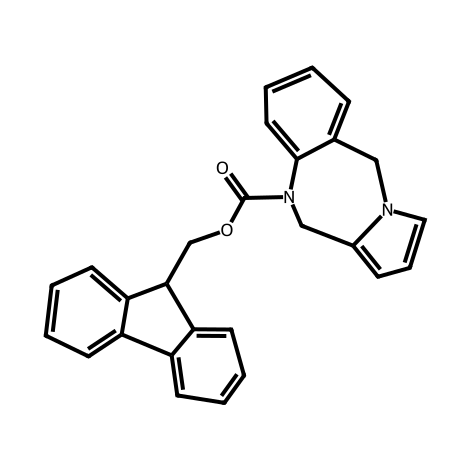 O=C(OCC1c2ccccc2-c2ccccc21)N1Cc2cccn2Cc2ccccc21